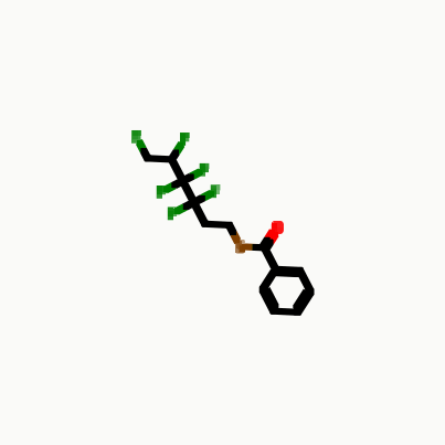 O=C(SCCC(F)(F)C(F)(F)C(F)CF)c1ccccc1